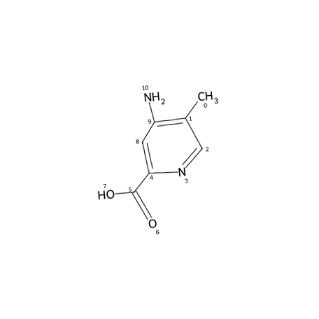 Cc1cnc(C(=O)O)cc1N